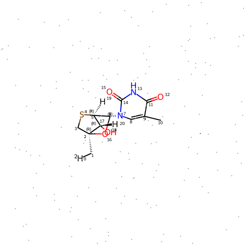 [2H]C[C@@]12CS[C@@H]([C@H](n3cc(C)c(=O)[nH]c3=O)O1)[C@@H]2O